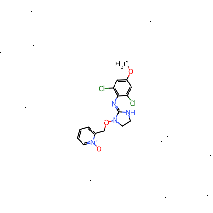 COc1cc(Cl)c(N=C2NCCN2OCc2cccc[n+]2[O-])c(Cl)c1